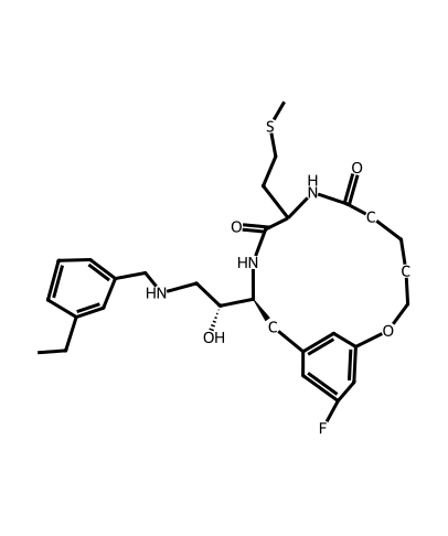 CCc1cccc(CNC[C@@H](O)[C@@H]2Cc3cc(F)cc(c3)OCCCCC(=O)NC(CCSC)C(=O)N2)c1